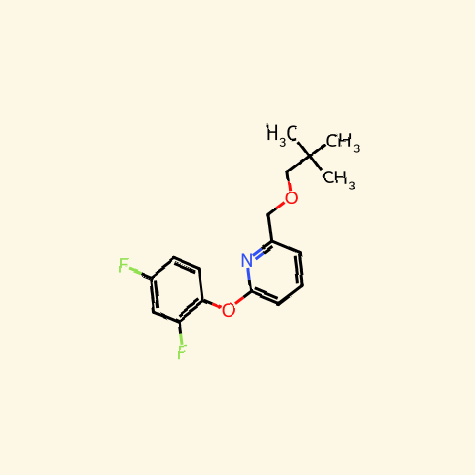 CC(C)(C)COCc1cccc(Oc2ccc(F)cc2F)n1